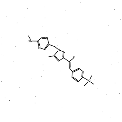 CNc1ccc(Cn2nc(/C(F)=C/c3ccc([Si](C)(C)C)cc3)cc2C)cn1